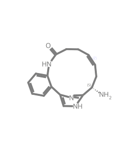 N[C@H]1C/C=C\CCC(=O)Nc2ccccc2-c2c[nH]c1n2